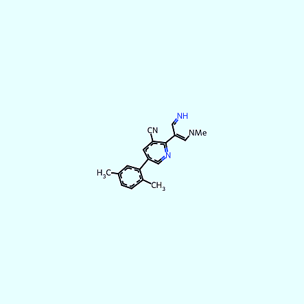 CN/C=C(\C=N)c1ncc(-c2cc(C)ccc2C)cc1C#N